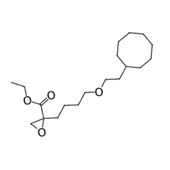 CCOC(=O)C1(CCCCOCCC2CCCCCCC2)CO1